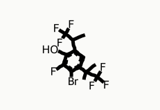 CC(c1cc(C(C)(C)C(F)(F)F)c(Br)c(F)c1O)C(F)(F)F